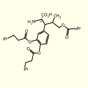 CCCC(=O)OCC(C)C(c1ccc(OC(=O)CCC(C)C)c(OC(=O)CCC(C)C)c1)[C@H](N)C(=O)O